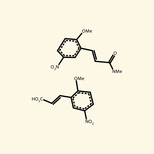 CNC(=O)C=Cc1cc([N+](=O)[O-])ccc1OC.COc1ccc([N+](=O)[O-])cc1C=CC(=O)O